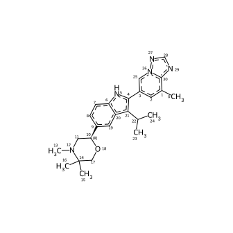 Cc1cc(-c2[nH]c3ccc([C@@H]4CN(C)C(C)(C)CO4)cc3c2C(C)C)cn2ncnc12